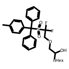 CCCCCCC(O)COCC(F)(F)S(=O)(=O)C(c1ccccc1)(c1ccccc1)c1ccc(C)cc1